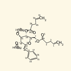 C=CCCC(=O)OC[C@H]1O[C@@H](Sc2ccccc2)[C@H](OCCCC)[C@@H](OCCCC)[C@@H]1OC(=O)CCC=C